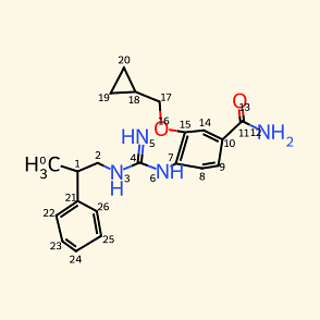 CC(CNC(=N)Nc1ccc(C(N)=O)cc1OCC1CC1)c1ccccc1